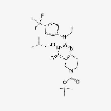 CCN(c1ccc(C(F)(F)F)cc1)c1nc2c(c(=O)n1OCC(C)C)CN(C(=O)OC(C)(C)C)CC2